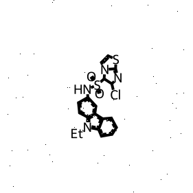 CCn1c2ccccc2c2cc(NS(=O)(=O)C3C(Cl)N=C4SC=CN43)ccc21